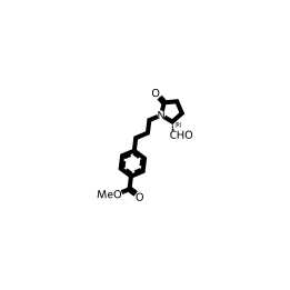 COC(=O)c1ccc(CCCN2C(=O)CC[C@@H]2C=O)cc1